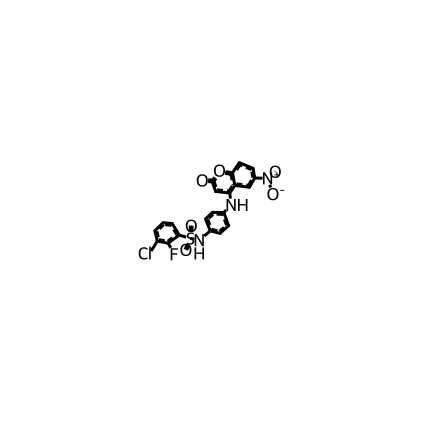 O=c1cc(Nc2ccc(NS(=O)(=O)c3cccc(Cl)c3F)cc2)c2cc([N+](=O)[O-])ccc2o1